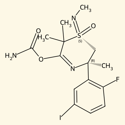 CN=[S@]1(=O)C[C@@](C)(c2cc(I)ccc2F)N=C(OC(N)=O)C1(C)C